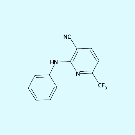 N#Cc1ccc(C(F)(F)F)nc1Nc1ccccc1